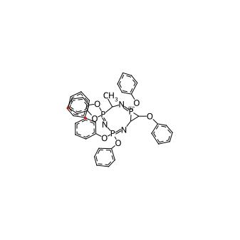 CC1N=[P@]2(Oc3ccccc3)C(N=P(Oc3ccccc3)(Oc3ccccc3)N=P1(Oc1ccccc1)Oc1ccccc1)C2Oc1ccccc1